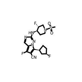 CS(=O)(=O)N1CC[C@@H](Nc2ncc3c(F)c(C#N)c([C@H]4CC[C@@H](F)C4)n3n2)[C@H](F)C1